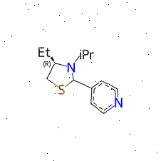 CC[C@@H]1CSC(c2ccncc2)N1C(C)C